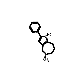 CN1CCCc2oc(-c3ccccc3)cc2C1.Cl